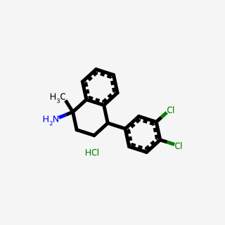 CC1(N)CCC(c2ccc(Cl)c(Cl)c2)c2ccccc21.Cl